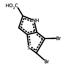 O=C(O)c1cc2sc(Br)c(Br)c2[nH]1